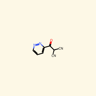 N#CC(C#N)C(=O)c1cccnn1